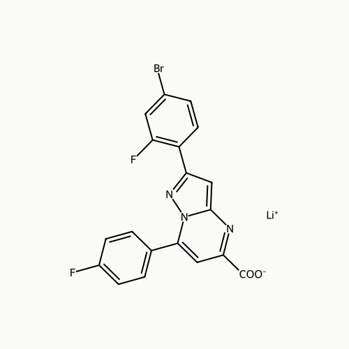 O=C([O-])c1cc(-c2ccc(F)cc2)n2nc(-c3ccc(Br)cc3F)cc2n1.[Li+]